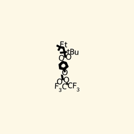 CCC(C)(C)CC(C)(C(=O)Oc1ccc(OCC(=O)OC(C(F)(F)F)C(F)(F)F)cc1)C(C)(C)C